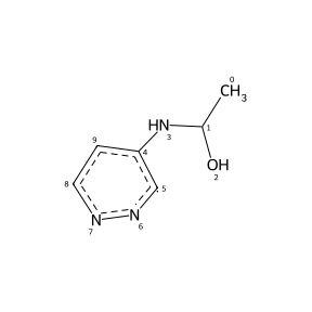 CC(O)Nc1[c]nncc1